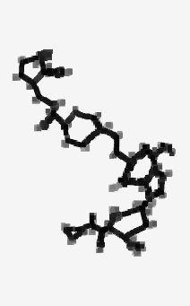 Nc1nc(CCC2CCN(C(=O)OCC3CCNC3=O)CC2)nc2c1ncn2[C@H]1CC(O)[C@@H](C(=O)NC2CC2)O1